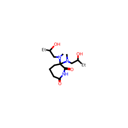 CCC(O)CN(C)C1(N(C)CC(O)CC)CCCC(=O)NC1=O